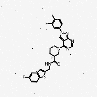 Cc1ccc(-n2cc3c(N4CCC[C@H](C(=O)NCc5cc6cc(F)ccc6s5)C4)ncnc3n2)cc1F